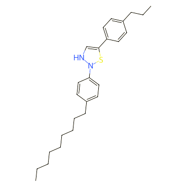 CCCCCCCCCc1ccc(N2NC=C(c3ccc(CCC)cc3)S2)cc1